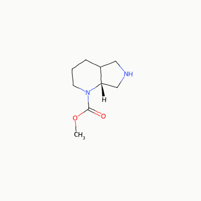 COC(=O)N1CCCC2CNC[C@@H]21